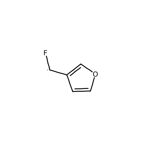 F[CH]c1ccoc1